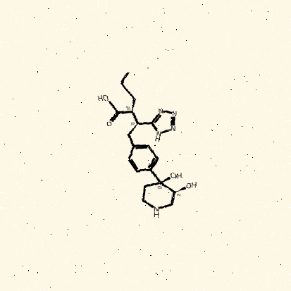 CCC[C@H](C(=O)O)[C@H](Cc1ccc([C@@]2(O)CCNC[C@@H]2O)cc1)c1nnn[nH]1